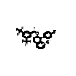 C[C@H](O[C@H]1CCc2ccc[n+]([O-])c2[C@@H]1c1ccc(F)cc1)c1cc(C(F)(F)F)cc(C(F)(F)F)c1